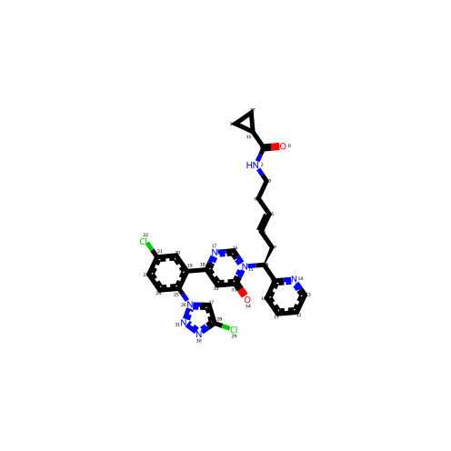 O=C(NCC/C=C/C[C@@H](c1ccccn1)n1cnc(-c2cc(Cl)ccc2-n2cc(Cl)nn2)cc1=O)C1CC1